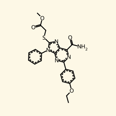 CCOc1ccc(-c2nc(C(N)=O)c3nc(SCC(=O)OC)n(-c4ccccc4)c3n2)cc1